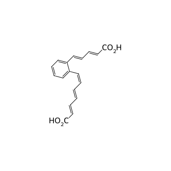 O=C(O)/C=C/C=C/C=C\c1ccccc1/C=C/C=C/C(=O)O